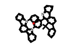 CC1(C)c2ccccc2-c2ccc3c(c(-c4ccc(-n5c6ccccc6c6ccc7c8ccccc8n(-c8ccccc8)c7c65)cc4)nc4ccccc43)c21